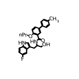 CCCOc1ccc(-c2ccc(C)cc2)cc1C(=O)NC(CO)Cc1c[nH]c2ccc(F)cc12